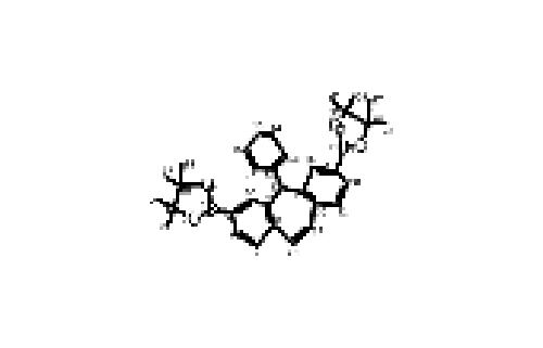 CC1(C)OB(c2ccc3c(c2)C(c2ccccc2)c2cc(B4OC(C)(C)C(C)(C)O4)ccc2C=C3)OC1(C)C